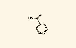 C=C(S)c1ccccc1